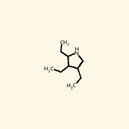 CCC1[CH]NC(CC)C1CC